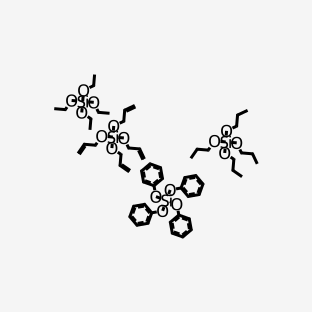 C=CCO[Si](OCC=C)(OCC=C)OCC=C.CCCO[Si](OCCC)(OCCC)OCCC.CCO[Si](OCC)(OCC)OCC.c1ccc(O[Si](Oc2ccccc2)(Oc2ccccc2)Oc2ccccc2)cc1